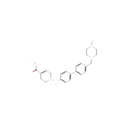 CCN1CCN(Cc2ccc(-c3ccc(SN4CC=C(C(=O)NO)CC4)cc3)cc2)CC1